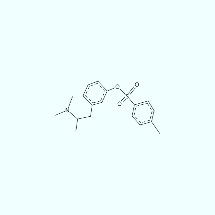 Cc1ccc(S(=O)(=O)Oc2cccc(CC(C)N(C)C)c2)cc1